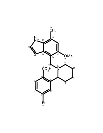 CCc1ccc(C(=O)O)c(C2CCCCN2Cc2c(OC)cc(C)c3[nH]ccc23)c1